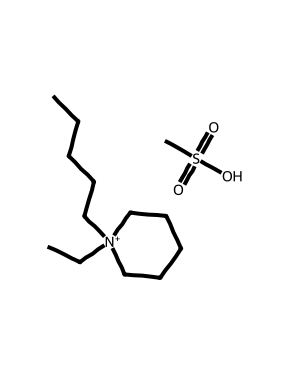 CCCCC[N+]1(CC)CCCCC1.CS(=O)(=O)O